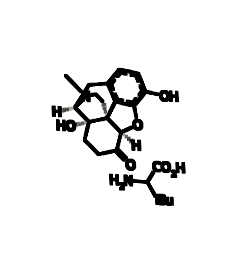 CCC(C)C(N)C(=O)O.CN1CC[C@]23c4c5ccc(O)c4O[C@H]2C(=O)CC[C@@]3(O)[C@H]1C5